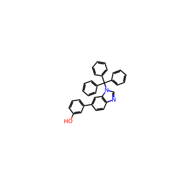 Oc1cccc(-c2ccc3ncn(C(c4ccccc4)(c4ccccc4)c4ccccc4)c3c2)c1